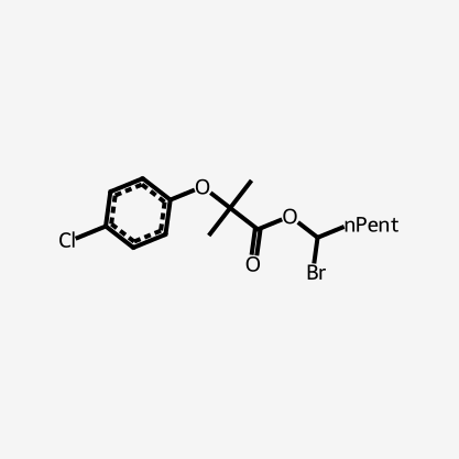 CCCCCC(Br)OC(=O)C(C)(C)Oc1ccc(Cl)cc1